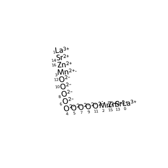 [La+3].[La+3].[Mn+2].[Mn+2].[O-2].[O-2].[O-2].[O-2].[O-2].[O-2].[O-2].[O-2].[O-2].[Sr+2].[Sr+2].[Zn+2].[Zn+2]